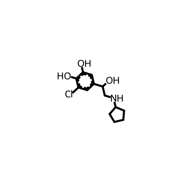 Oc1cc(C(O)CNC2CCCC2)cc(Cl)c1O